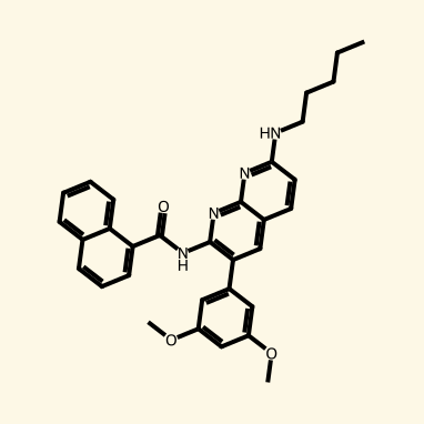 CCCCCNc1ccc2cc(-c3cc(OC)cc(OC)c3)c(NC(=O)c3cccc4ccccc34)nc2n1